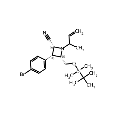 C=CC(C)N1[C@H](CO[Si](C)(C)C(C)(C)C)[C@H](c2ccc(Br)cc2)[C@@H]1C#N